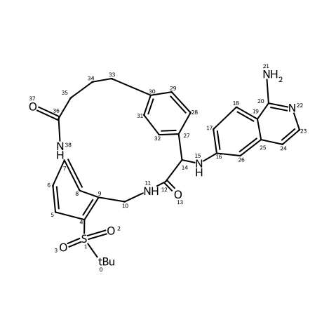 CC(C)(C)S(=O)(=O)c1ccc2cc1CNC(=O)C(Nc1ccc3c(N)nccc3c1)c1ccc(cc1)CCCC(=O)N2